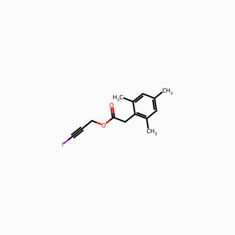 Cc1cc(C)c(CC(=O)OCC#CI)c(C)c1